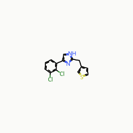 Clc1cccc(-c2c[nH]c(Cc3ccsc3)n2)c1Cl